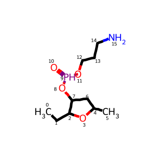 CCC1OC(C)CC1O[PH](=O)OCCCN